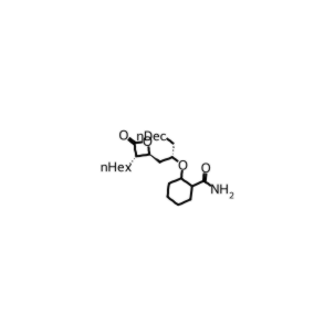 CCCCCCCCCCC[C@@H](C[C@@H]1OC(=O)[C@H]1CCCCCC)OC1CCCCC1C(N)=O